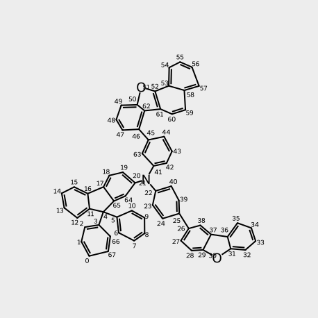 c1ccc(C2(c3ccccc3)c3ccccc3-c3ccc(N(c4ccc(-c5ccc6oc7ccccc7c6c5)cc4)c4cccc(-c5cccc6oc7c8ccccc8ccc7c56)c4)cc32)cc1